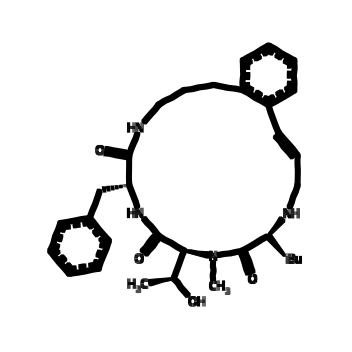 CC[C@H](C)[C@@H]1NC/C=C/c2ccccc2CCCNC(=O)[C@@H](Cc2ccccc2)NC(=O)[C@H]([C@H](C)O)N(C)C1=O